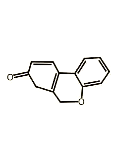 O=C1C=CC2=C(COc3ccccc32)C1